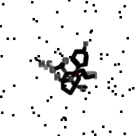 COC(=O)[C@H]1[C@@H](c2ccc(F)cc2)C[C@@H]2CC[C@H]1N2C/C=C/[123I]